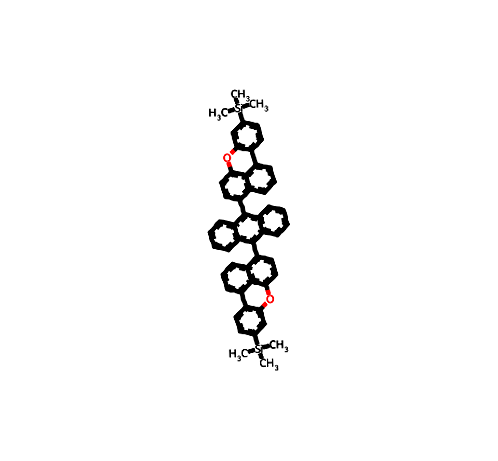 C[Si](C)(C)c1ccc2c(c1)Oc1ccc(-c3c4ccccc4c(-c4ccc5c6c(cccc46)-c4ccc([Si](C)(C)C)cc4O5)c4ccccc34)c3cccc-2c13